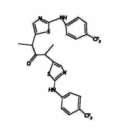 CC(C(=O)C(C)c1cnc(Nc2ccc(C(F)(F)F)cc2)s1)c1cnc(Nc2ccc(C(F)(F)F)cc2)s1